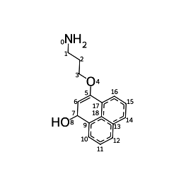 NCCCOC1=CC(O)c2cccc3cccc1c23